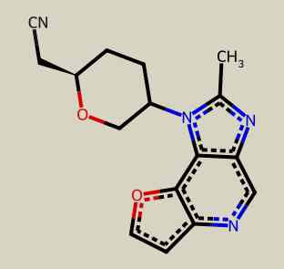 Cc1nc2cnc3ccoc3c2n1C1CC[C@H](CC#N)OC1